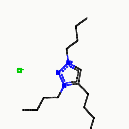 CCCCc1c[n+](CCCC)nn1CCCC.[Cl-]